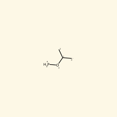 [CH2]C(C)OP